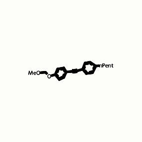 CCCCCc1ccc(C#Cc2ccc(OCOC)cc2)cc1